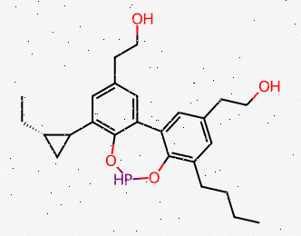 CCCCc1cc(CCO)cc2c1o[pH]oc1c(C3C[C@@H]3CC)cc(CCO)cc12